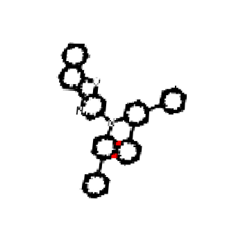 c1ccc(-c2ccc(N(c3cnc4c(c3)oc3c5ccccc5ccc43)c3ccc(-c4ccccc4)cc3-c3ccccc3)cc2)cc1